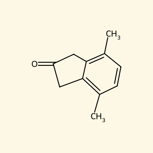 Cc1ccc(C)c2c1CC(=O)C2